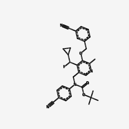 Cc1ncc(CN(C(=O)OC(C)(C)C)c2ccc(C#N)cc2)c(C(F)C2CC2)c1OCc1cccc(C#N)c1